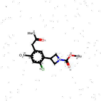 COC(=O)Cc1cc(C2CN(C(=O)OC(C)(C)C)C2)c(Cl)cc1[N+](=O)[O-]